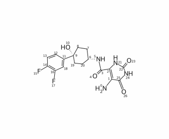 Nc1c(C(=O)N[C@H]2CC[C@](O)(c3ccc(F)c(F)c3)CC2)[nH]c(=O)[nH]c1=O